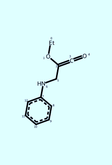 CCOC(=C=O)CNc1ccccc1